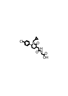 O=C(O)CNC(=O)CC1CC[C@@H](c2ccc(Cl)cc2)N(CC2CC2)C1=O